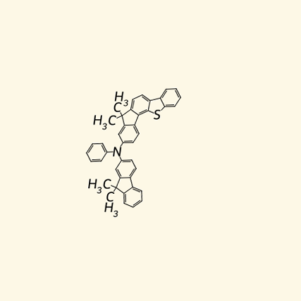 CC1(C)c2ccccc2-c2ccc(N(c3ccccc3)c3ccc4c(c3)C(C)(C)c3ccc5c(sc6ccccc65)c3-4)cc21